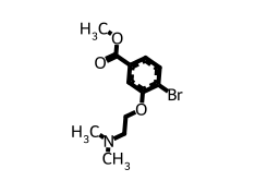 COC(=O)c1ccc(Br)c(OCCN(C)C)c1